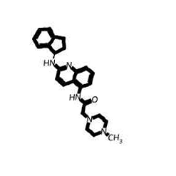 CN1CCN(CC(=O)Nc2cccc3nc(N[C@H]4CCc5ccccc54)ccc23)CC1